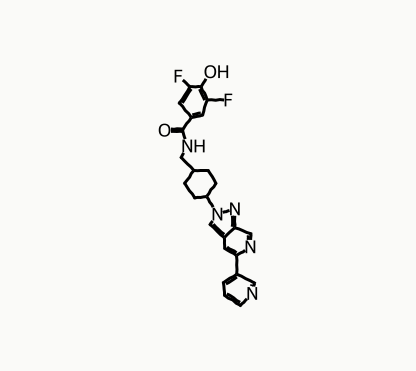 O=C(NCC1CCC(n2cc3cc(-c4cccnc4)ncc3n2)CC1)c1cc(F)c(O)c(F)c1